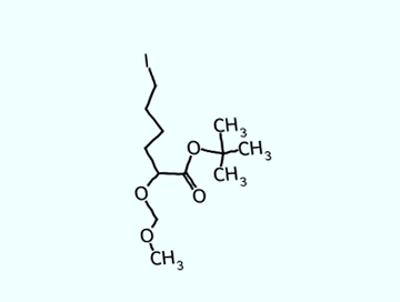 COCOC(CCCCI)C(=O)OC(C)(C)C